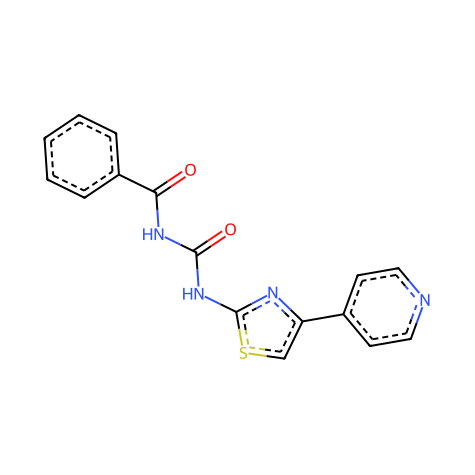 O=C(NC(=O)c1ccccc1)Nc1nc(-c2ccncc2)cs1